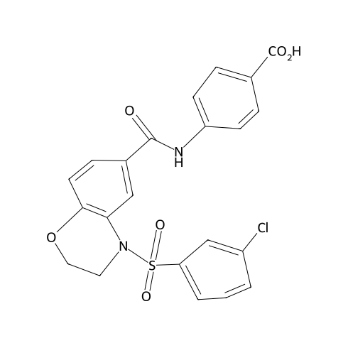 O=C(O)c1ccc(NC(=O)c2ccc3c(c2)N(S(=O)(=O)c2cccc(Cl)c2)CCO3)cc1